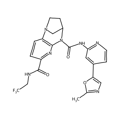 Cc1ncc(-c2ccnc(NC(=O)N3c4nc(C(=O)NCC(F)(F)F)ccc4N4CCC3C4)c2)o1